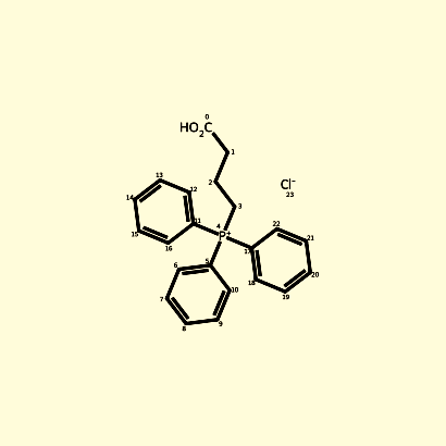 O=C(O)CCC[P+](c1ccccc1)(c1ccccc1)c1ccccc1.[Cl-]